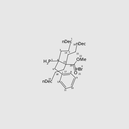 Br.CCCCCCCCCCCCC(P)(Cc1ccccc1)C(CCCCCCCCCCCC)(CCCCCCCCCCCC)C(=O)OC